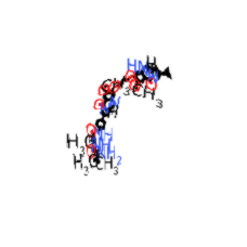 COc1cc2c(cc1OCCCOc1cc3c(cc1OC)C(=O)N1C=C(C4CC4)C[C@H]1CN3)N=C[C@@H]1CC(c3ccc(NC(=O)[C@H](C)NC(=O)[C@@H](N)C(C)C)cc3)=CN1C2=O